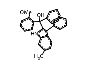 COc1ccccc1C(O)(c1ccccc1)c1[nH]c2cc(C)ccc2c1-c1ccccc1